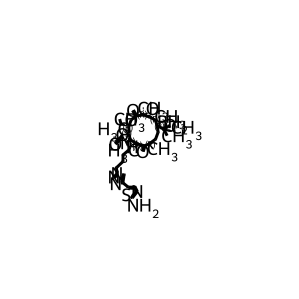 B[C@@]1(C(C)OC)CC[C@@H](C)C(=O)[C@H](C)[C@H]2N(CCCCn3cc(-c4cnc(N)s4)nn3)C(=O)O[C@]2(C)[C@@H](CC)OC(=O)[C@H](C)C(=O)[C@@H]1C